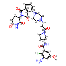 COc1cc(N)c(F)c(C(=O)N[C@@H]2CCN(C(=O)CCN3CCN(c4cccc5c4C(=O)N(C4CCC(=O)NC4=O)C5=O)CC3)C2)c1